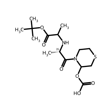 CC(N[C@@H](C)C(=O)N1CCSCC1OC(=O)O)C(=O)OC(C)(C)C